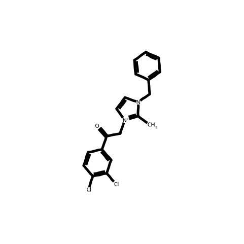 Cc1n(Cc2ccccc2)cc[n+]1CC(=O)c1ccc(Cl)c(Cl)c1